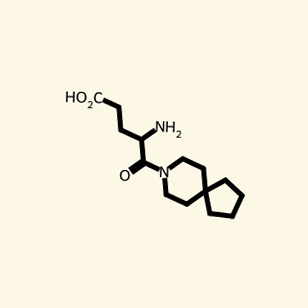 NC(CCC(=O)O)C(=O)N1CCC2(CCCC2)CC1